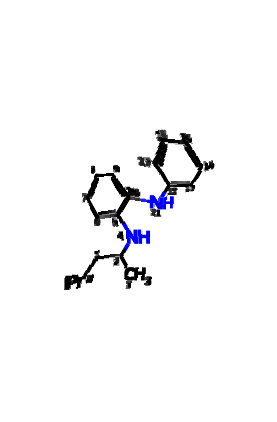 CC(C)CC(C)Nc1ccccc1Nc1ccccc1